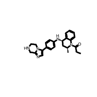 CCC(=O)N1c2ccccc2[C@H](Nc2ccc(-c3cnc4n3CCNC4)cc2)C[C@@H]1C